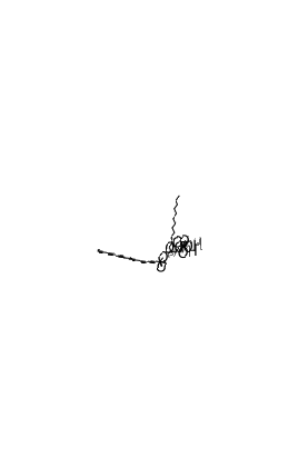 C#CC#CC#CC#CC#CC#CC(=O)OC[C@@H](COP(=O)(O)O)OC(=O)CCCCCCCCCC